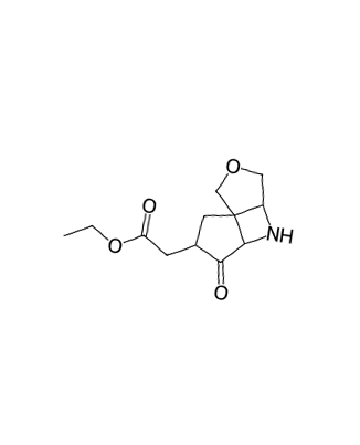 CCOC(=O)CC1CC23COCC2NC3C1=O